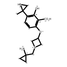 CC1(c2ccc(OC3CN(CC4(N)CC4)C3)c(C(=O)O)c2O)BC1